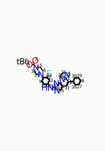 CC(C)(C)OC(=O)N1CCN(c2ccc(Nc3ncc4c(n3)N3CCN=C3C(c3ccccc3)=C4)cc2F)CC1